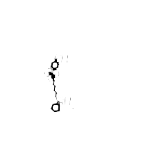 Cc1ccc(S(=O)(=O)OCCCCCC[SiH2]c2ccccc2)cc1